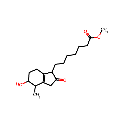 COC(=O)CCCCCCC1C(=O)CC2=C1CCC(O)C2C